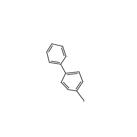 Ic1ccc(-c2[c]cccc2)cc1